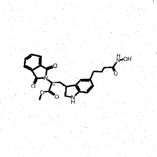 COC(=O)[C@H](CC1CNc2ccc(CCCC(=O)NO)cc21)N1C(=O)c2ccccc2C1=O